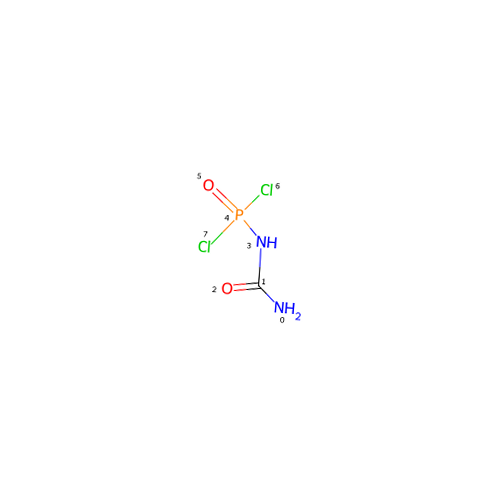 NC(=O)NP(=O)(Cl)Cl